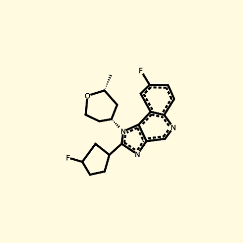 C[C@@H]1C[C@H](n2c(C3CCC(F)C3)nc3cnc4ccc(F)cc4c32)CCO1